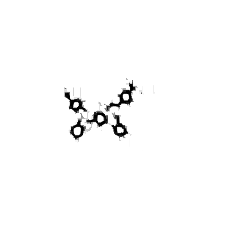 Cc1ccc(Cn2c(CCc3ccc(C(=N)N)cc3)nc3cc(C(=O)N(Cc4ccc(CN)cc4)CC4CCCCC4)ccc32)cc1